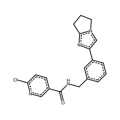 O=C(NCc1cccc(-c2cn3c(n2)CCC3)c1)c1ccc(Cl)nc1